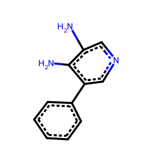 Nc1cncc(-c2ccccc2)c1N